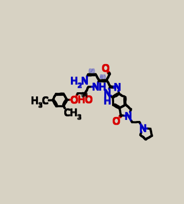 Cc1ccc(OC[C@H](O)CNC(/C=C\N)=C(/C=O)c2nc3cc4c(cc3[nH]2)C(=O)N(CCN2CCCC2)C4)c(C)c1